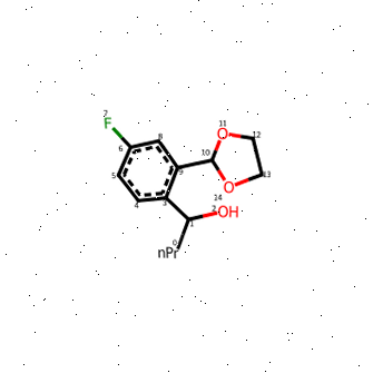 CCCC(O)c1ccc(F)cc1C1OCCO1